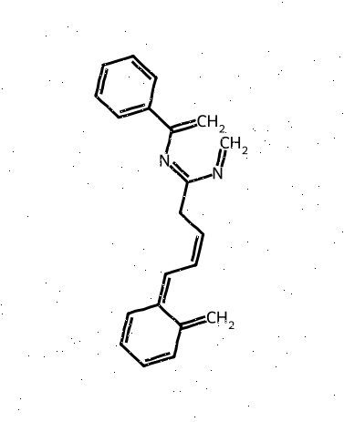 C=N/C(C/C=C\C=c1\ccccc1=C)=N\C(=C)c1ccccc1